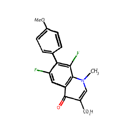 COc1ccc(-c2c(F)cc3c(=O)c(C(=O)O)cn(C)c3c2F)cc1